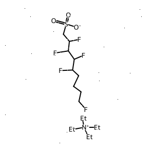 CC[N+](CC)(CC)CC.O=S(=O)([O-])CC(F)C(F)C(F)C(F)CCCCF